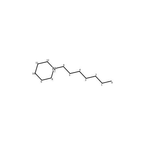 CCCCCCCN1CC[CH]CC1